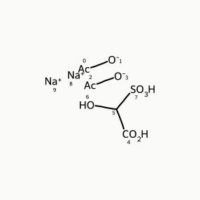 CC(=O)[O-].CC(=O)[O-].O=C(O)C(O)S(=O)(=O)O.[Na+].[Na+]